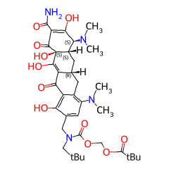 CN(C)c1cc(CN(CC(C)(C)C)C(=O)OCOC(=O)C(C)(C)C)c(O)c2c1C[C@H]1C[C@H]3[C@H](N(C)C)C(O)=C(C(N)=O)C(=O)[C@@]3(O)C(O)=C1C2=O